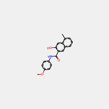 COc1ccc(NC(=O)c2cc3cccc(C)c3cc2O)cc1